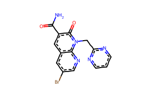 NC(=O)c1cc2cc(Br)cnc2n(Cc2ncccn2)c1=O